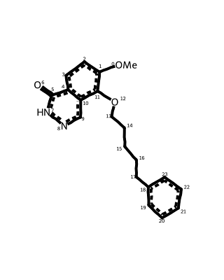 COc1ccc2c(=O)[nH]ncc2c1OCCCCCc1ccccc1